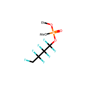 CCOP(=O)(OC)OC(F)(F)C(F)(F)C(F)(F)CF